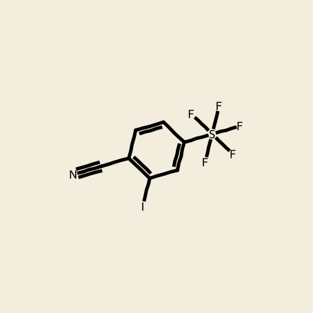 N#Cc1ccc(S(F)(F)(F)(F)F)cc1I